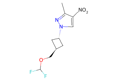 Cc1nn([C@H]2C[C@H](COC(F)F)C2)cc1[N+](=O)[O-]